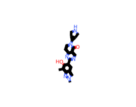 Cc1c(O)c(-c2ncc3c(=O)n(C4C5CNCC54)ccc3n2)cc2cn(C)nc12